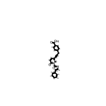 O=C(O)c1ccc(CC#Cc2ccc(=O)n(-c3ncc(-c4ccccc4)o3)n2)cc1